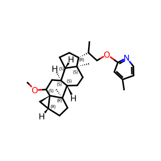 COC1C[C@H]2[C@@H]3CC[C@H](C(C)COc4cc(C)ccn4)[C@@]3(C)CC[C@@H]2[C@@]2(C)CC[C@@H]3C[C@]132